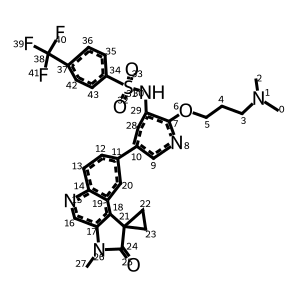 CN(C)CCCOc1ncc(-c2ccc3ncc4c(c3c2)C2(CC2)C(=O)N4C)cc1NS(=O)(=O)c1ccc(C(F)(F)F)cc1